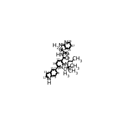 CCCN(c1nc(-c2ccc3[nH]ccc3c2)ccc1C(=O)NS(=O)(=O)c1cccnc1N)C(C)(C)C